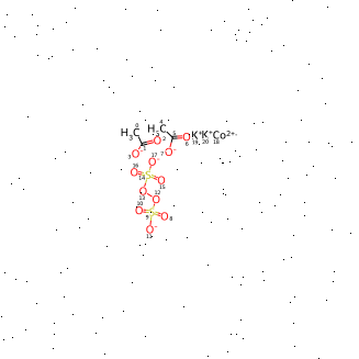 CC(=O)[O-].CC(=O)[O-].O=S(=O)([O-])OOS(=O)(=O)[O-].[Co+2].[K+].[K+]